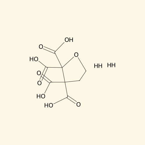 O=C(O)C1(C(=O)O)CCOC1(C(=O)O)C(=O)O.[HH].[HH]